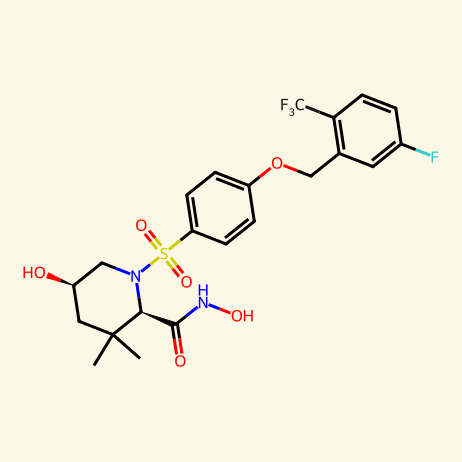 CC1(C)C[C@@H](O)CN(S(=O)(=O)c2ccc(OCc3cc(F)ccc3C(F)(F)F)cc2)[C@H]1C(=O)NO